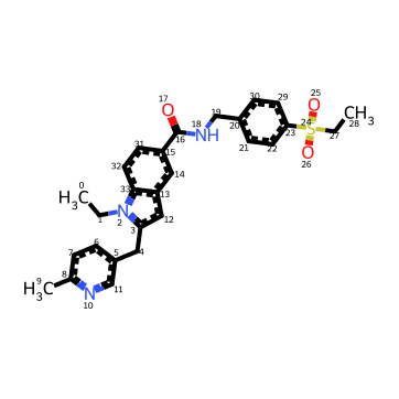 CCn1c(Cc2ccc(C)nc2)cc2cc(C(=O)NCc3ccc(S(=O)(=O)CC)cc3)ccc21